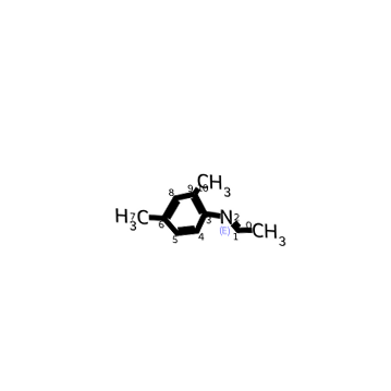 C/C=N/c1ccc(C)cc1C